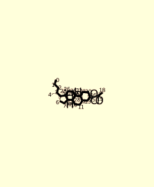 CCC[C@@H](C)[C@H]1CC[C@H]2[C@@H]3CCC4C[C@@](Cl)(OC(C)=O)CC[C@]4(C)[C@H]3CC[C@]12C